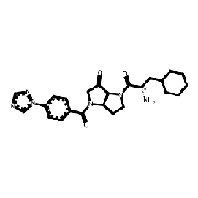 N[C@@H](CC1CCCCC1)C(=O)N1CCC2C1C(=O)CN2C(=O)c1ccc(-n2cncn2)cc1